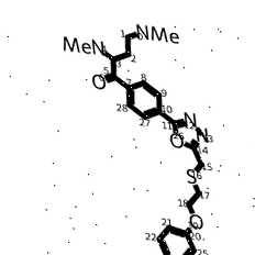 CNCCC(NC)C(=O)c1ccc(-c2nnc(CSCCOc3ccccc3)o2)cc1